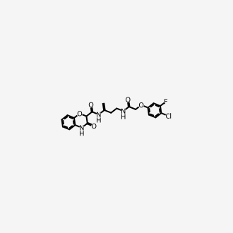 C=C(CCNC(=O)COc1ccc(Cl)c(F)c1)NC(=O)C1Oc2ccccc2NC1=O